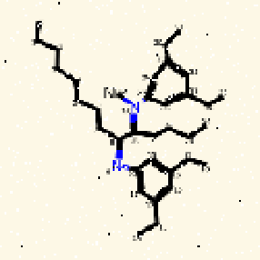 CCCCCCCCC(=Nc1cc(CC)cc(CC)c1)C(CCCC)=[N+]([Ni])c1cc(CC)cc(CC)c1